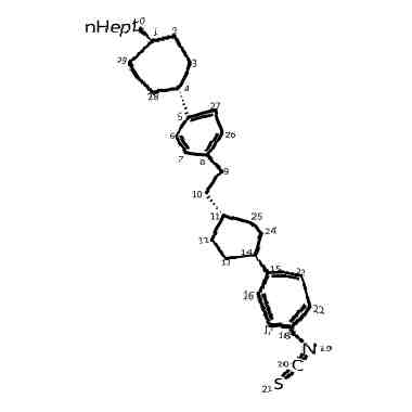 CCCCCCC[C@H]1CC[C@H](c2ccc(CC[C@H]3CC[C@H](c4ccc(N=C=S)cc4)CC3)cc2)CC1